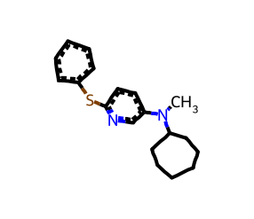 CN(c1ccc(Sc2ccccc2)nc1)C1CCCCCC1